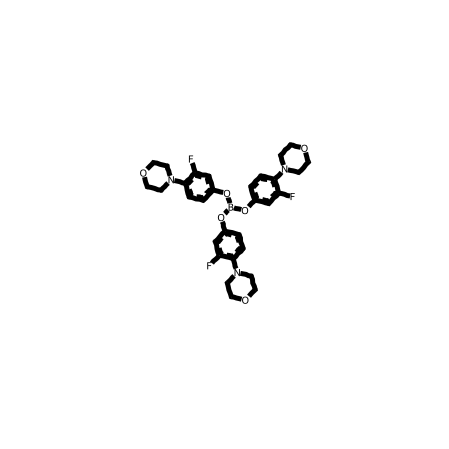 Fc1cc(OB(Oc2ccc(N3CCOCC3)c(F)c2)Oc2ccc(N3CCOCC3)c(F)c2)ccc1N1CCOCC1